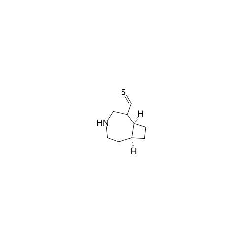 S=CC1CNCC[C@@H]2CC[C@H]12